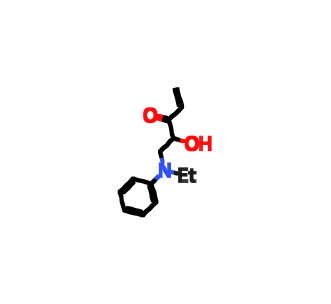 C=CC(=O)C(O)CN(CC)c1ccccc1